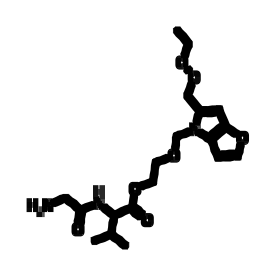 CCOOCc1cc2occc2n1COCCOC(=O)C(NC(=O)CN)C(C)C